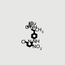 CC(CN[S+]([O-])C(C)(C)C)c1ccc(Nc2nc(Cl)ccc2[N+](=O)[O-])cc1